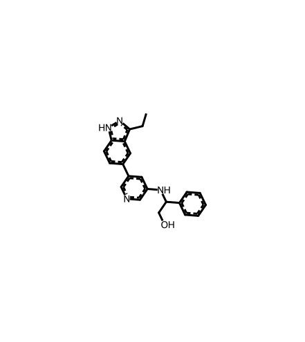 CCc1n[nH]c2ccc(-c3cncc(NC(CO)c4ccccc4)c3)cc12